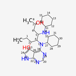 CCC(O)C(C(CC(C)O)NC1CCCCC1)N(c1ncnc2[nH]ccc12)C1CCCCC1